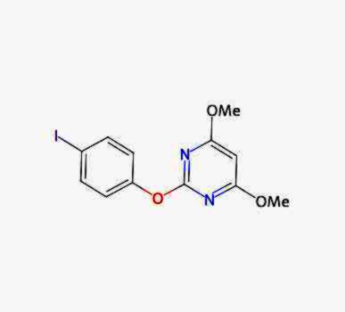 COc1cc(OC)nc(Oc2ccc(I)cc2)n1